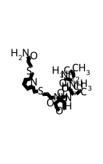 CC(C)C[C@H](NC(=O)[C@H](CC(C)C)NC(=O)C1(NC(=O)CCSCc2cccc(CSCCC(N)=O)n2)CCOCC1)C(N)=O